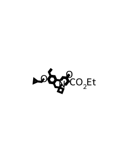 C=Cc1cc2c(cc1OCC1CC1)CC1(CCC1)n1cc(C(=O)OCC)c(=O)cc1-2